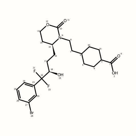 O=C(O)C1CCC(CCN2C(=O)OCC[C@@H]2CC[C@@H](O)C(F)(F)c2cccc(Br)c2)CC1